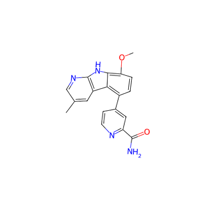 COc1ccc(-c2ccnc(C(N)=O)c2)c2c1[nH]c1ncc(C)cc12